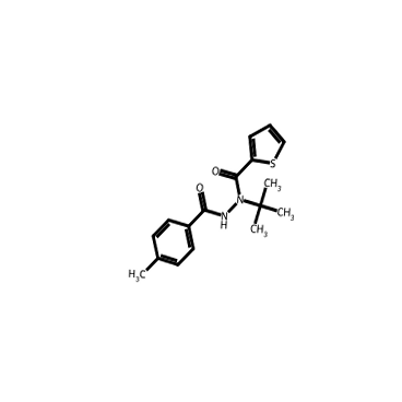 Cc1ccc(C(=O)NN(C(=O)c2cccs2)C(C)(C)C)cc1